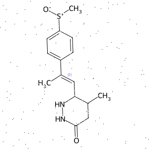 C/C(=C\C1NNC(=O)CC1C)c1ccc([S+](C)[O-])cc1